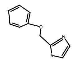 [c]1ccc(OCc2nccs2)cc1